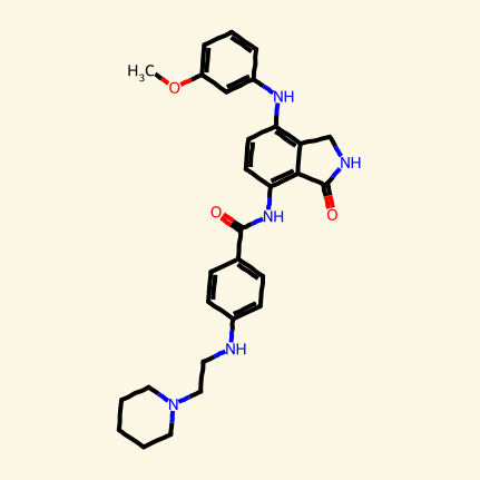 COc1cccc(Nc2ccc(NC(=O)c3ccc(NCCN4CCCCC4)cc3)c3c2CNC3=O)c1